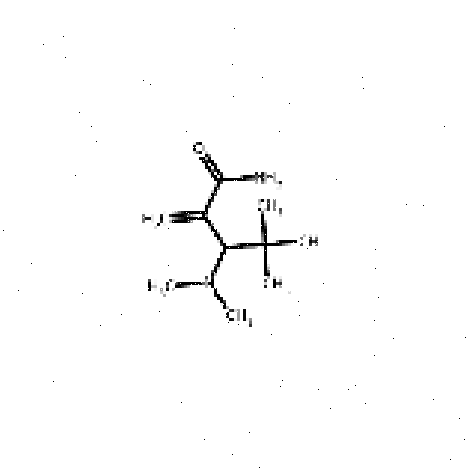 C=C(C(N)=O)C(N(C)C)C(C)(C)C